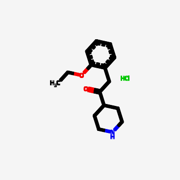 CCOc1ccccc1CC(=O)C1CCNCC1.Cl